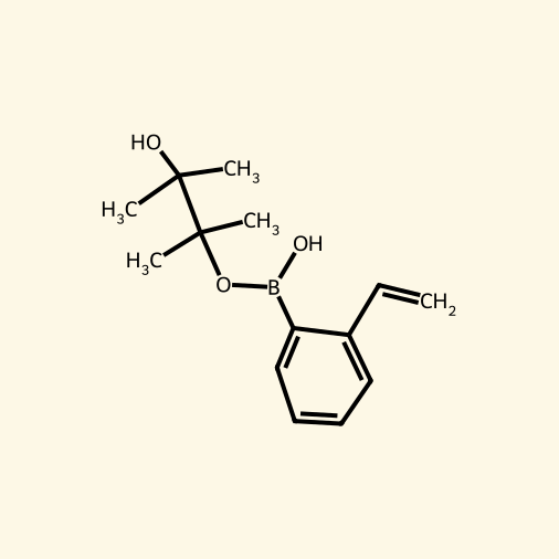 C=Cc1ccccc1B(O)OC(C)(C)C(C)(C)O